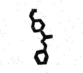 N=CC1CCN(C(=O)OCc2ccccc2)CC1